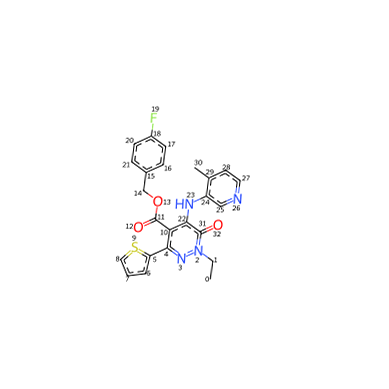 CCn1nc(-c2cccs2)c(C(=O)OCc2ccc(F)cc2)c(Nc2cnccc2C)c1=O